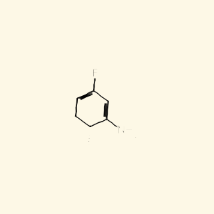 C[C@@H]1CC=C(F)C=C1N